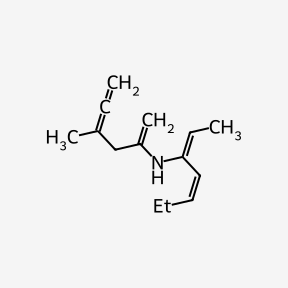 C=C=C(C)CC(=C)NC(/C=C\CC)=C/C